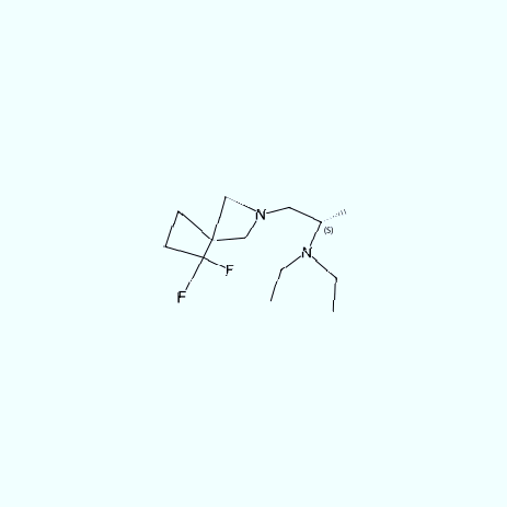 CCN(CC)[C@@H](C)CN1CC2(CCC2(F)F)C1